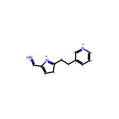 N=CC1=CCC(CCc2cccnc2)=N1